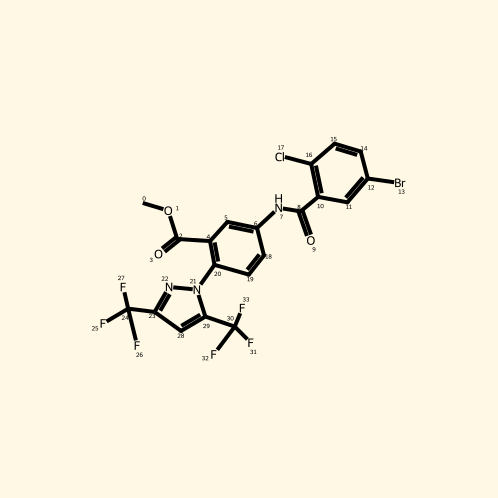 COC(=O)c1cc(NC(=O)c2cc(Br)ccc2Cl)ccc1-n1nc(C(F)(F)F)cc1C(F)(F)F